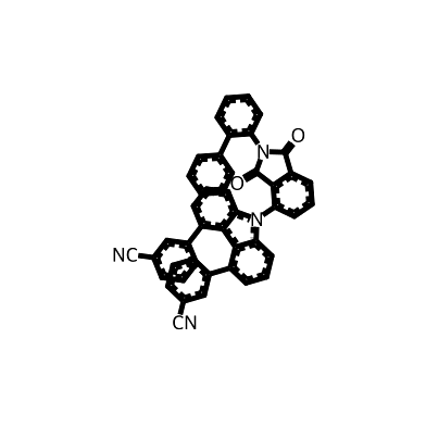 N#Cc1cccc(-c2cccc3c2c2c(-c4cccc(C#N)c4)cccc2n3-c2cccc3c2C(=O)N(c2ccccc2-c2ccccc2)C3=O)c1